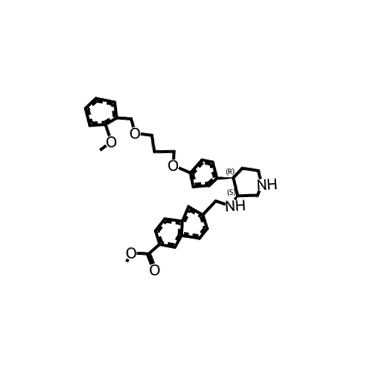 COC(=O)c1ccc2cc(CN[C@@H]3CNCC[C@@H]3c3ccc(OCCCOCc4ccccc4OC)cc3)ccc2c1